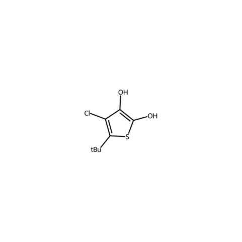 CC(C)(C)c1sc(O)c(O)c1Cl